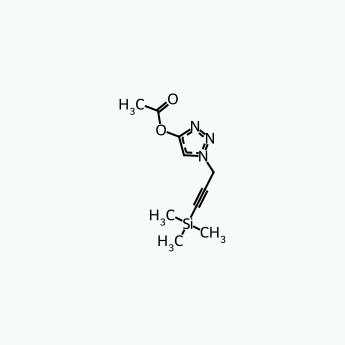 CC(=O)Oc1cn(CC#C[Si](C)(C)C)nn1